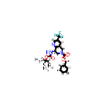 CC(C)(C)OC(=O)N[C@@H]1CN(C(=O)OCc2ccccc2)Cc2cc(C(F)(F)F)cnc21